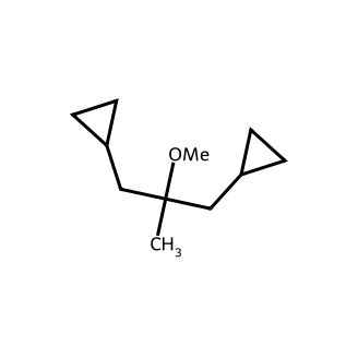 COC(C)(CC1CC1)CC1CC1